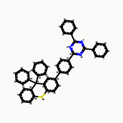 c1ccc(-c2nc(-c3ccccc3)nc(-c3ccc(-c4ccc5c(c4)C(c4ccccc4)(c4ccccc4)c4ccccc4S5)cc3)n2)cc1